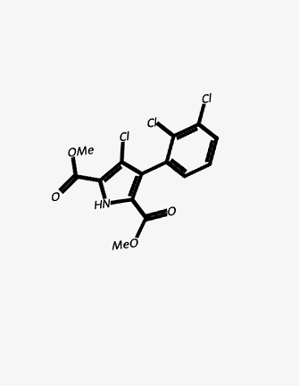 COC(=O)c1[nH]c(C(=O)OC)c(-c2cccc(Cl)c2Cl)c1Cl